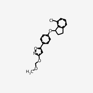 COCOc1cc(-c2ccc(OC3CCc4cccc(Cl)c43)cc2)on1